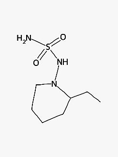 CCC1CCCCN1NS(N)(=O)=O